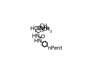 CCCCCc1ccc(NC(=O)NC(CC(=O)O)C[N+](C)(C)C)cc1